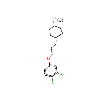 CCCCCCC[C@H]1CC[C@H](CCCOc2ccc(F)c(F)c2)CC1